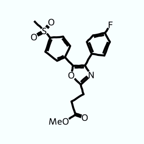 COC(=O)CCc1nc(-c2ccc(F)cc2)c(-c2ccc(S(C)(=O)=O)cc2)o1